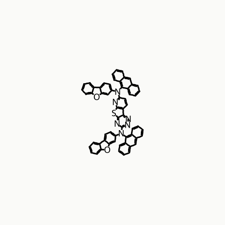 c1ccc2c(N(c3ccc4c(c3)oc3ccccc34)c3ccc4c(n3)sc3nc(N(c5ccc6c(c5)oc5ccccc56)c5c6ccccc6cc6ccccc56)nnc34)c3ccccc3cc2c1